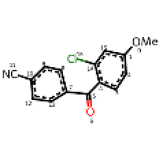 COc1ccc(C(=O)c2ccc(C#N)cc2)c(Cl)c1